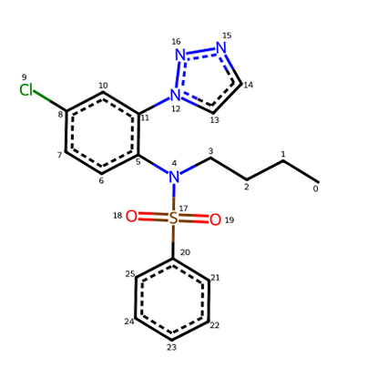 CCCCN(c1ccc(Cl)cc1-n1ccnn1)S(=O)(=O)c1ccccc1